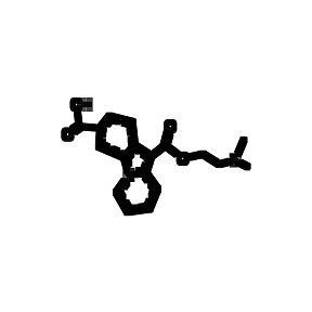 CN(C)CCOC(=O)c1c2ccc(C(=O)O)cc2n2ccccc12